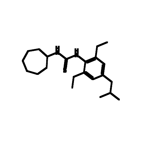 CCc1cc(CC(C)C)cc(CC)c1NC(=S)NC1CCCCCC1